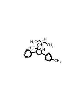 CCOCC.Cc1ccc(C2CC(c3ccncc3)C(C)(C)N2)cc1.Cl